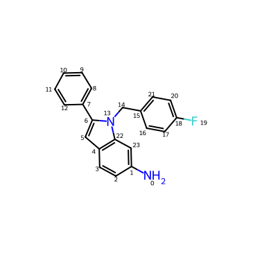 Nc1ccc2cc(-c3ccccc3)n(Cc3ccc(F)cc3)c2c1